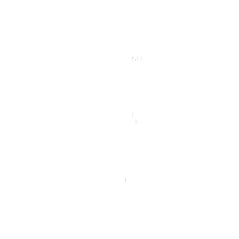 Cl.NC1CC(Oc2ccc(F)cc2F)C1